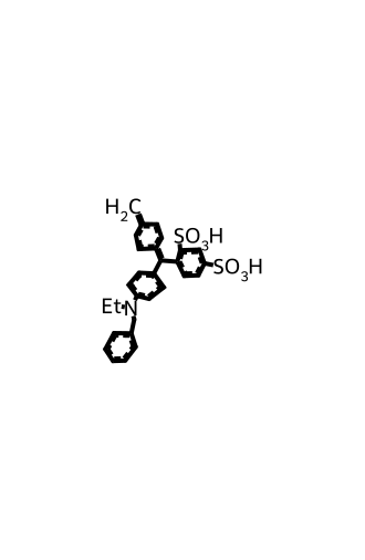 C=c1ccc(=C(c2ccc(N(CC)Cc3ccccc3)cc2)c2ccc(S(=O)(=O)O)cc2S(=O)(=O)O)cc1